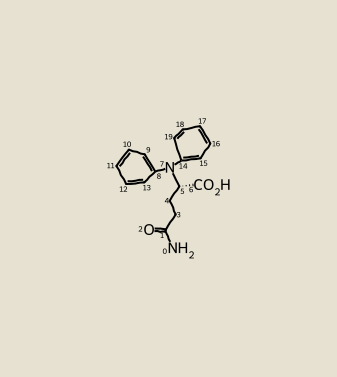 NC(=O)CC[C@@H](C(=O)O)N(c1ccccc1)c1ccccc1